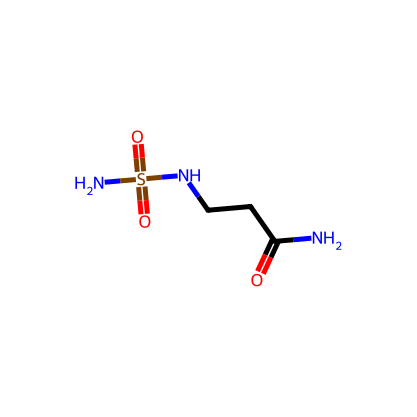 NC(=O)CCNS(N)(=O)=O